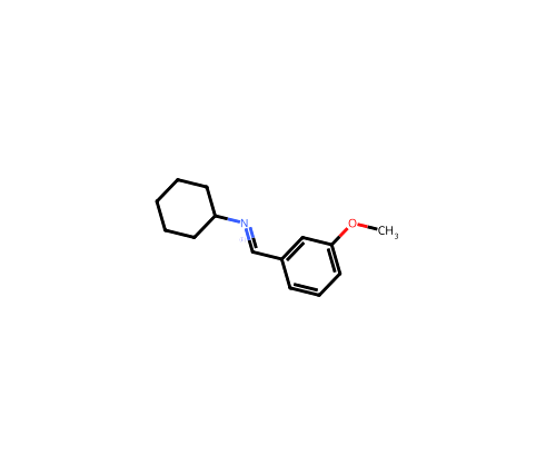 COc1cccc(/C=N/C2CCCCC2)c1